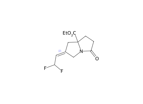 CCOC(=O)C12CCC(=O)N1C/C(=C\C(F)F)C2